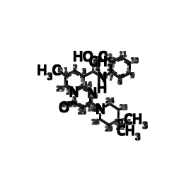 Cc1cc(C(C)Nc2ccccc2C(=O)O)c2nc(N3CCC(C)(C)CC3)cc(=O)n2c1